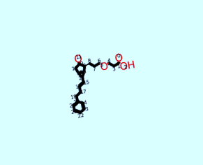 O=C(O)CCOCCC[C@@H]1C(=O)CC2C(/C=C/CCc3ccccc3)C21